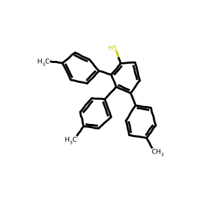 Cc1ccc(-c2ccc(S)c(-c3ccc(C)cc3)c2-c2ccc(C)cc2)cc1